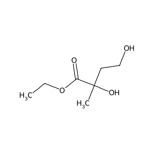 CCOC(=O)C(C)(O)CCO